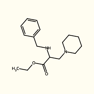 CCOC(=O)C(CN1CCCCC1)NCc1ccccc1